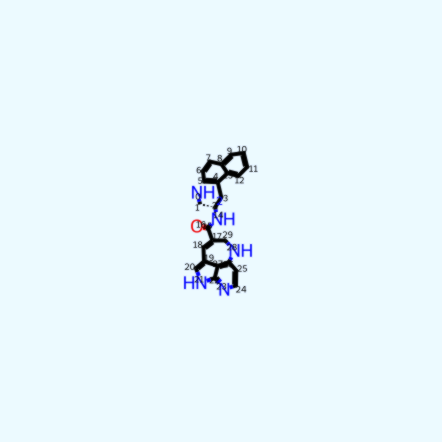 NC[C@H](Cc1cccc2ccccc12)NC(=O)C1=Cc2c[nH]c3nccc(c23)NC1